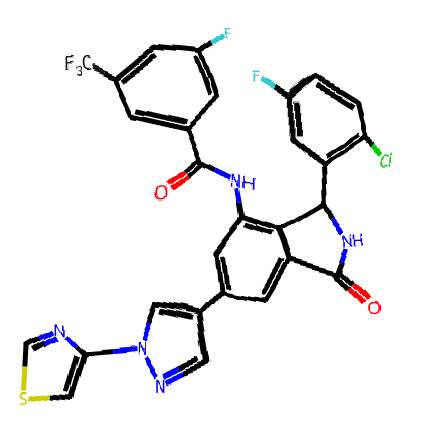 O=C(Nc1cc(-c2cnn(-c3cscn3)c2)cc2c1C(c1cc(F)ccc1Cl)NC2=O)c1cc(F)cc(C(F)(F)F)c1